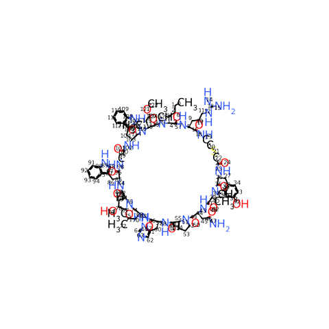 CCCC[C@H]1C(=O)N[C@@H](CCCNC(=N)N)C(=O)NCCSCC(=O)N[C@@H](Cc2ccc(O)cc2)C(=O)N(C)[C@@H](C)C(=O)N[C@@H](CC(N)=O)C(=O)N2CCC[C@H]2C(=O)N[C@@H](Cc2cnc[nH]2)C(=O)N[C@@H](CC(C)C)C(=O)N2C[C@H](O)C[C@H]2C(=O)N[C@@H](Cc2c[nH]c3ccccc23)C(=O)NCC(=O)N[C@@H](Cc2c[nH]c3ccccc23)C(=O)N(C)[C@@H](CCOC)C(=O)N1C